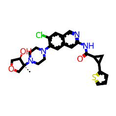 C[C@]1(N2CCN(c3cc4cc(NC(=O)C5CC5c5cccs5)ncc4cc3Cl)CC2)COC[C@H]1O